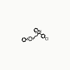 Clc1ccc(-c2nc3ccccn3c2CCCN2CCN(c3ccccc3)CC2)cc1